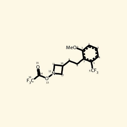 COc1cccc(C(F)(F)F)c1CCC1CN(OC(=O)C(F)(F)F)C1